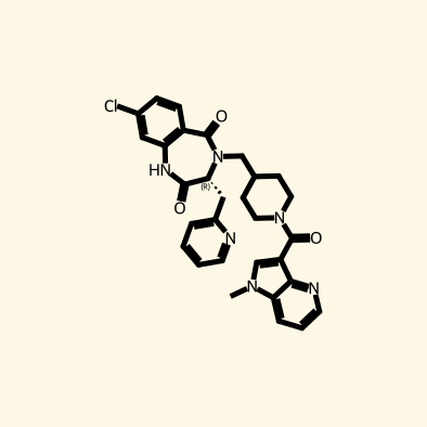 Cn1cc(C(=O)N2CCC(CN3C(=O)c4ccc(Cl)cc4NC(=O)[C@H]3Cc3ccccn3)CC2)c2ncccc21